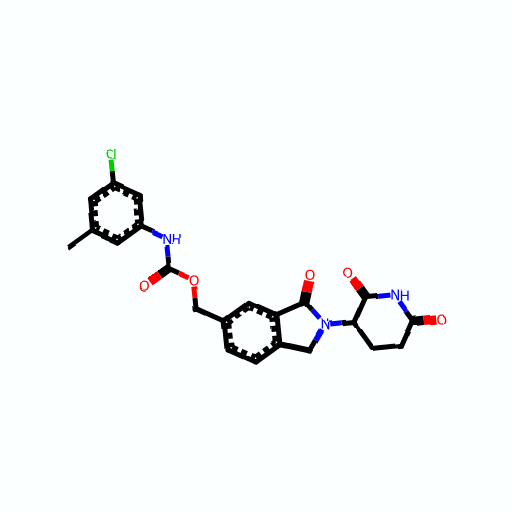 Cc1cc(Cl)cc(NC(=O)OCc2ccc3c(c2)C(=O)N(C2CCC(=O)NC2=O)C3)c1